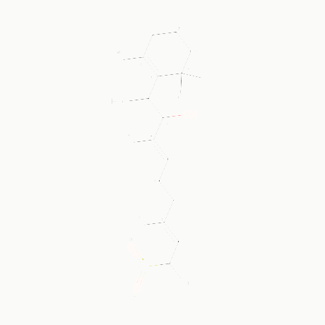 CCC(/C=C(\C)CC/C=C(\C)C(O)C(C)C1=C(C)CCCC1(C)C)[SH](=O)=O